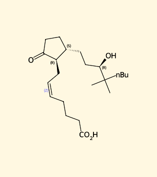 CCCCC(C)(C)[C@H](O)CC[C@H]1CCC(=O)[C@@H]1C/C=C\CCCC(=O)O